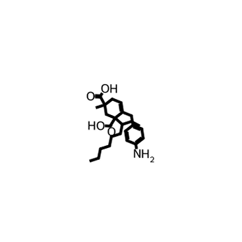 CCCCCCC(CC)C1(C(=O)O)CC(C)(C(=O)O)CC=C1Cc1ccc(N)cc1